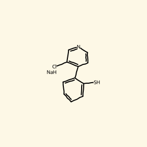 Sc1ccccc1-c1ccncc1Cl.[NaH]